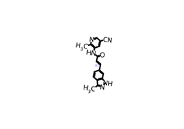 Cc1ncc(C#N)cc1NC(=O)/C=C/c1ccc2c(C)n[nH]c2c1